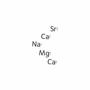 [Ca].[Ca].[Mg].[Na].[Sr]